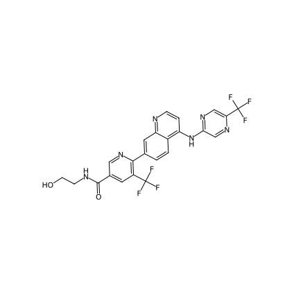 O=C(NCCO)c1cnc(-c2ccc3c(Nc4cnc(C(F)(F)F)cn4)ccnc3c2)c(C(F)(F)F)c1